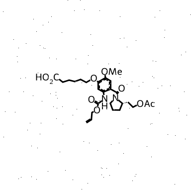 C=CCOC(=O)Nc1cc(OCCCCCC(=O)O)c(OC)cc1C(=O)N1CCC[C@H]1CCOC(C)=O